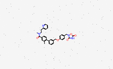 Cc1cc(C(=O)N(C)CCc2ccccn2)ccc1-c1cccc(COc2ccc(Cn3oc(=O)[nH]c3=O)cc2)c1